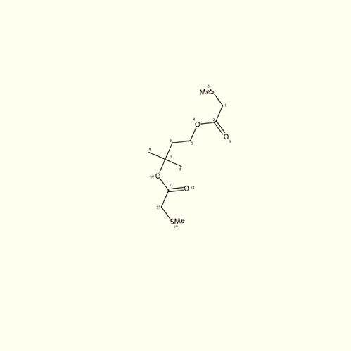 CSCC(=O)OCCC(C)(C)OC(=O)CSC